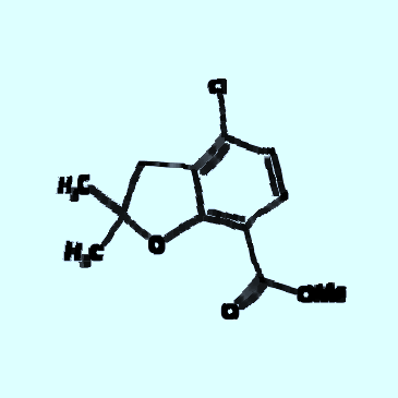 COC(=O)c1ccc(Cl)c2c1OC(C)(C)C2